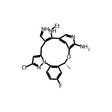 CCN/C1=C(\C=N)Cc2cc(Cl)nn2-c2ccc(F)cc2[C@@H](C)Oc2cc1cnc2N